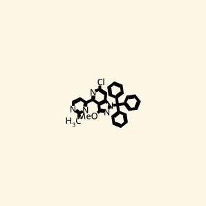 COc1nn(C(c2ccccc2)(c2ccccc2)c2ccccc2)c2cc(Cl)nc(-c3ccnc(C)n3)c12